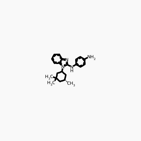 C[C@H]1CC(n2c(Nc3ccc(N)cc3)nc3ccccc32)CC(C)(C)C1